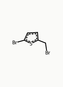 BrCc1ccc(Br)s1